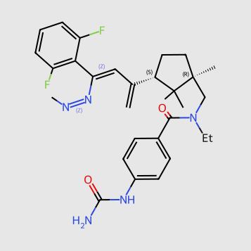 C=C(/C=C(\N=N/C)c1c(F)cccc1F)[C@@H]1CC[C@@](C)(CN(CC)C(=O)c2ccc(NC(N)=O)cc2)C1(C)C